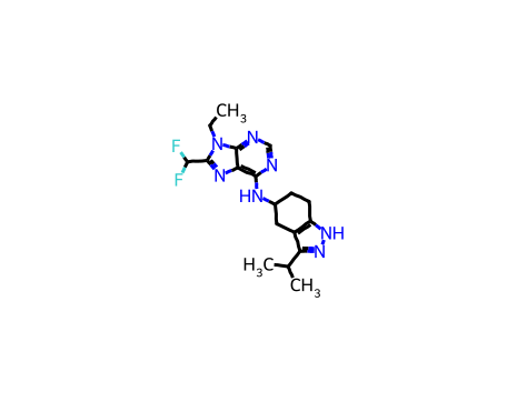 CCn1c(C(F)F)nc2c(NC3CCc4[nH]nc(C(C)C)c4C3)ncnc21